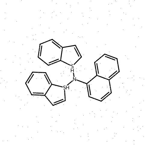 C1=C[SH](N(c2cccc3ccccc23)[SH]2C=Cc3ccccc32)c2ccccc21